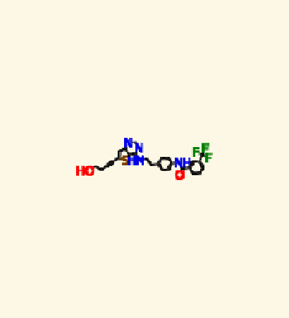 O=C(Nc1ccc(CCNc2ncnc3cc(C#CCCO)sc23)cc1)c1cccc(C(F)(F)F)c1